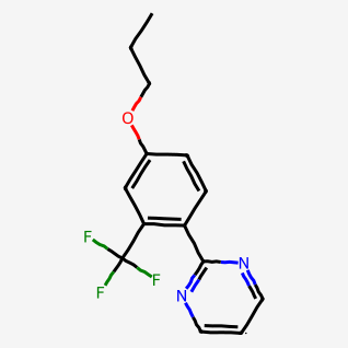 CCCOc1ccc(-c2nc[c]cn2)c(C(F)(F)F)c1